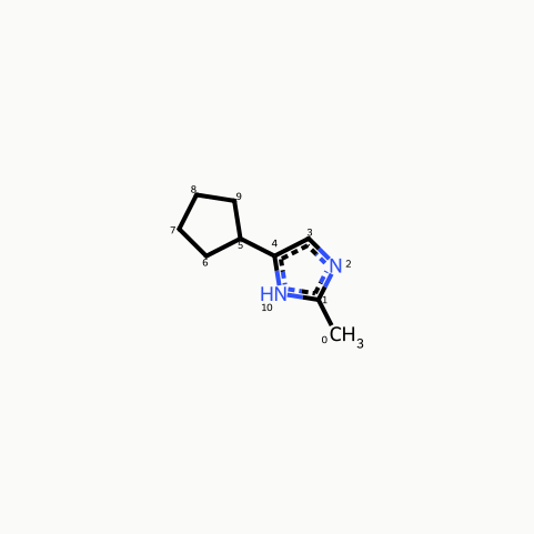 Cc1ncc(C2CCCC2)[nH]1